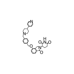 O=C1CCC(N2Cc3c(OCc4ccc(CN5CCC(c6ccncc6)CC5)cc4)cccc3C2=O)C(=O)N1